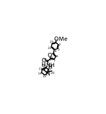 COc1ccc(-c2ccc(C(=O)N[C@@H]3C4CCN(CC4)[C@H]3C)o2)cc1